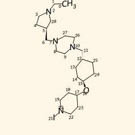 CCN1CC[C@H](CN2CCN(C[C@H]3CC[C@H](OC4CCN(I)CC4)CC3)CC2)C1